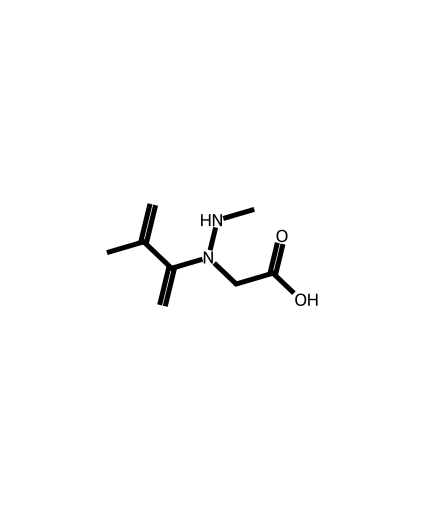 C=C(C)C(=C)N(CC(=O)O)NC